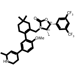 COc1ccc(C2=CC(C)NCC2)cc1C1=C(CN2C(=O)O[C@H](c3cc(C(F)(F)F)cc(C(F)(F)F)c3)[C@@H]2C)CC(C)(C)CC1